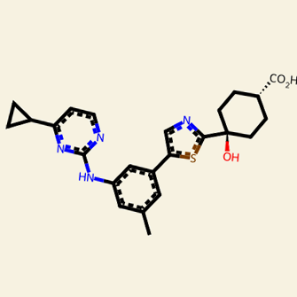 Cc1cc(Nc2nccc(C3CC3)n2)cc(-c2cnc([C@]3(O)CC[C@H](C(=O)O)CC3)s2)c1